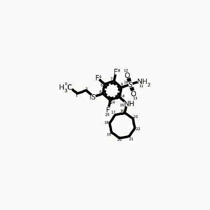 CCCSc1c(F)c(F)c(S(N)(=O)=O)c(NC2CCCCCCC2)c1F